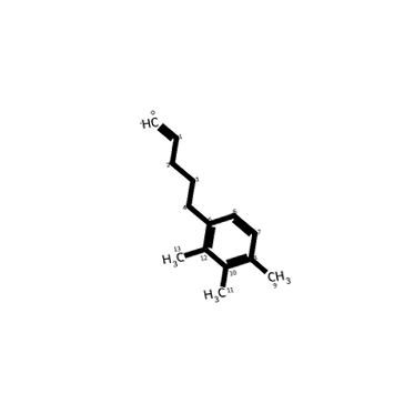 [CH]=CCCCc1ccc(C)c(C)c1C